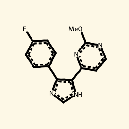 COc1nccc(-c2[nH]cnc2-c2ccc(F)cc2)n1